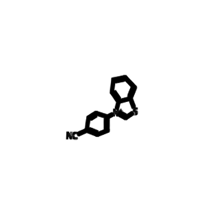 N#Cc1ccc(-[n+]2csc3ccccc32)cc1